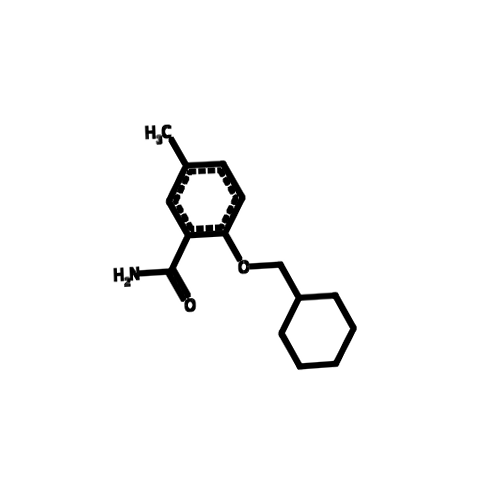 Cc1ccc(OCC2CCCCC2)c(C(N)=O)c1